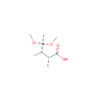 CO[Si](C)(OC)C(C)C(C)C(=O)O